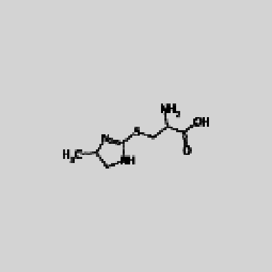 CC1CNC(SCC(N)C(=O)O)=N1